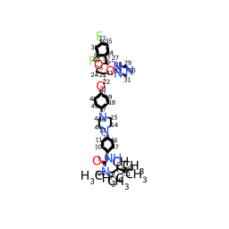 C[C]([C@H](C)N(C)C(=O)Nc1ccc(N2CCN(c3ccc(OC[C@@H]4CO[C@@](Cn5cncn5)(c5ccc(F)cc5F)O4)cc3)CC2)cc1)C(C)(C)C